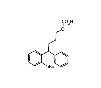 CCCCc1ccccc1C(CCCOC(=O)O)c1ccccc1